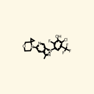 Cc1nn(-c2cc(C(F)(F)F)c(Cl)c(O)c2F)c2cnc(N3CCOCC34CC4)cc12